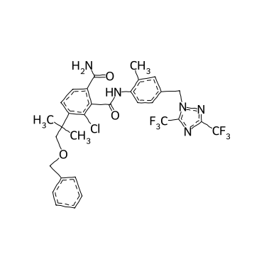 Cc1cc(Cn2nc(C(F)(F)F)nc2C(F)(F)F)ccc1NC(=O)c1c(C(N)=O)ccc(C(C)(C)COCc2ccccc2)c1Cl